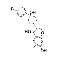 Cc1cc2c(c(C)c1O)OCC(N1CCC(O)(c3ccc(F)cc3)CC1)[C@H]2O